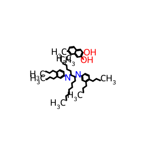 CCCCCCCCC(=Nc1ccc(CCCC)c(CCCC)c1)C(CCCCC)=Nc1ccc(CCCC)c(CCCC)c1.Cc1ccc2cc(O)c(O)cc2c1C